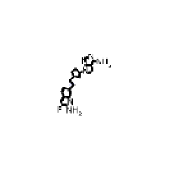 Nc1nc2cc(/C=C/C3CCC(N4CCc5c(N)ncnc54)C3)ccc2cc1F